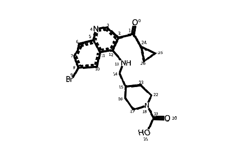 O=C(c1cnc2ccc(Br)cc2c1NCC1CCN(C(=O)O)CC1)C1CC1